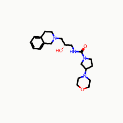 O=C(NC[C@H](O)CN1CCc2ccccc2C1)N1CCC(N2CCOCC2)C1